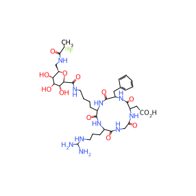 CC([18F])C(=O)NC[C@H]1OC(C(=O)NCCCCC2NC(=O)C(Cc3ccccc3)NC(=O)C(CC(=O)O)NC(=O)CNC(=O)C(CCCNC(N)N)NC2=O)[C@@H](O)C(O)[C@H]1O